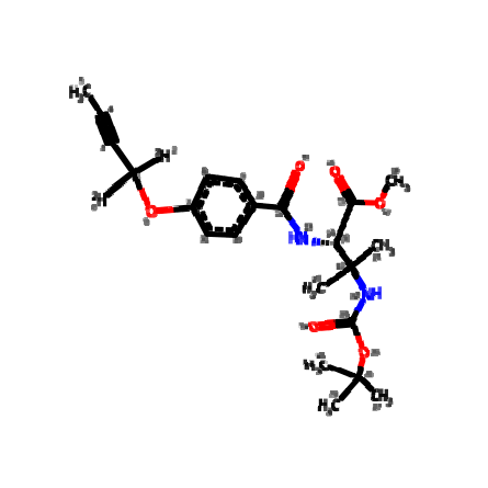 [2H]C([2H])(C#CC)Oc1ccc(C(=O)N[C@H](C(=O)OC)C(C)(C)NC(=O)OC(C)(C)C)cc1